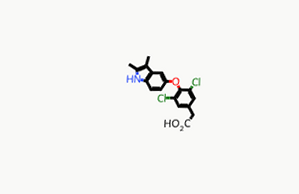 Cc1[nH]c2ccc(Oc3c(Cl)cc(CC(=O)O)cc3Cl)cc2c1C